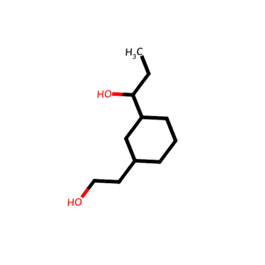 CCC(O)C1CCCC(CCO)C1